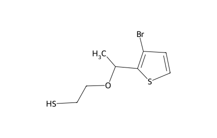 CC(OCCS)c1sccc1Br